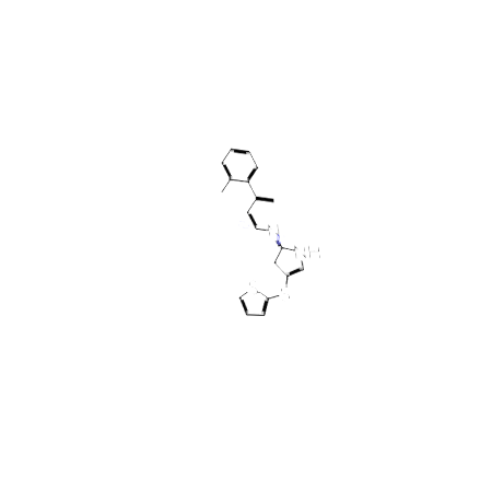 C=C(/C=C\N=C1/CC(Sc2cccs2)=CN1)c1ccccc1C